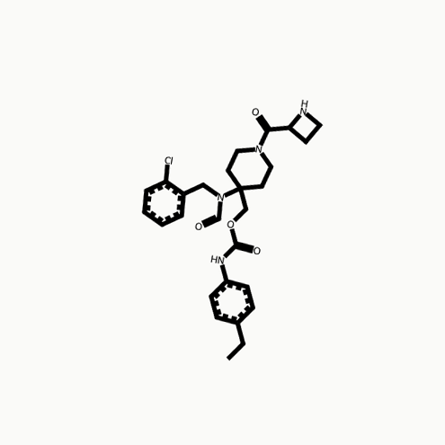 CCc1ccc(NC(=O)OCC2(N(C=O)Cc3ccccc3Cl)CCN(C(=O)C3CCN3)CC2)cc1